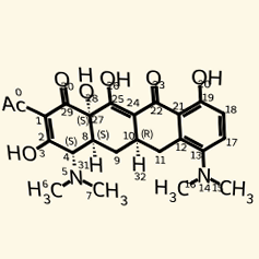 CC(=O)C1=C(O)[C@@H](N(C)C)[C@@H]2C[C@@H]3Cc4c(N(C)C)ccc(O)c4C(=O)C3=C(O)[C@]2(O)C1=O